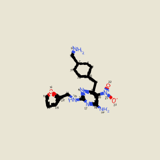 NCC1CCC(Cc2nc(NCc3ccco3)nc(N)c2[N+](=O)[O-])CC1